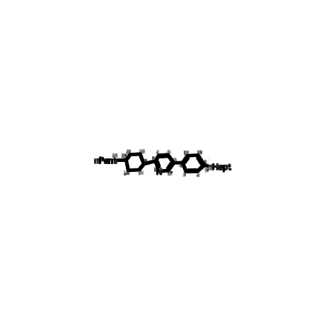 CCCCCCCc1ccc(-c2ccc(C3CCC(CCCCC)CC3)nc2)cc1